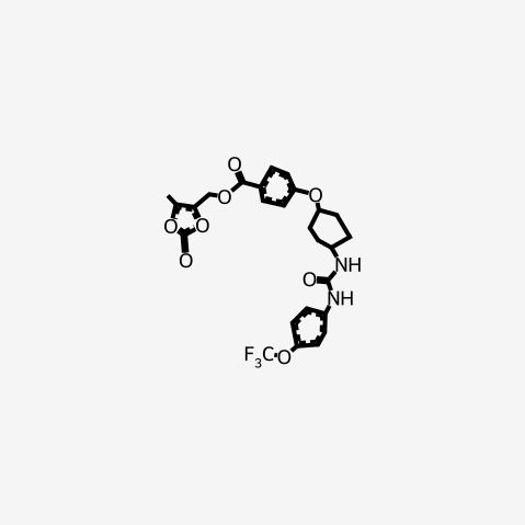 Cc1oc(=O)oc1COC(=O)c1ccc(OC2CCC(NC(=O)Nc3ccc(OC(F)(F)F)cc3)CC2)cc1